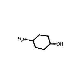 NC1CC[C](O)CC1